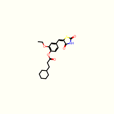 CCOc1cc(C=C2SC(=O)NC2=O)ccc1OC(=O)CCC1CCCCC1